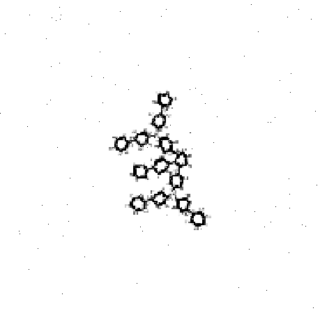 c1ccc(-c2ccc(-c3c(-c4ccc(N(c5ccc(-c6ccccc6)cc5)c5ccc(-c6ccccc6)cc5)cc4)cccc3-c3ccc(N(c4ccc(-c5ccccc5)cc4)c4ccc(-c5ccccc5)cc4)cc3)cc2)cc1